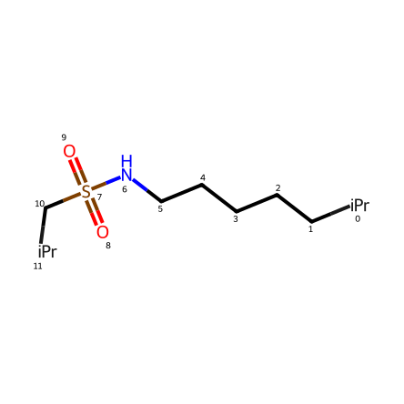 CC(C)CCCCCNS(=O)(=O)CC(C)C